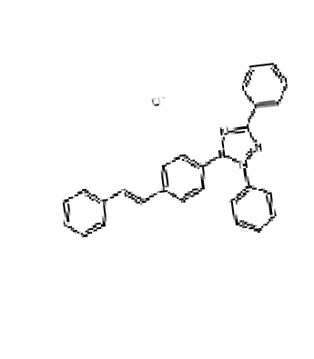 C(=Cc1ccc(-n2nc(-c3ccccc3)n[n+]2-c2ccccc2)cc1)c1ccccc1.[Cl-]